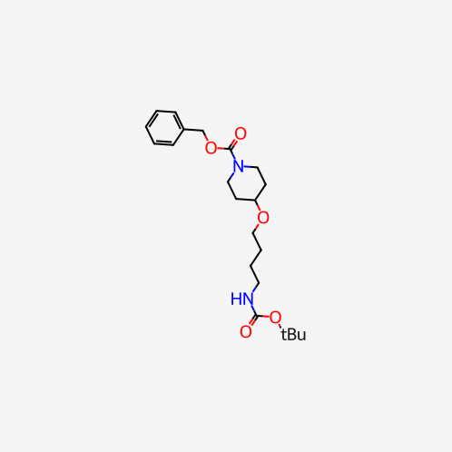 CC(C)(C)OC(=O)NCCCCOC1CCN(C(=O)OCc2ccccc2)CC1